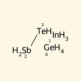 [GeH4].[InH3].[SbH2][TeH]